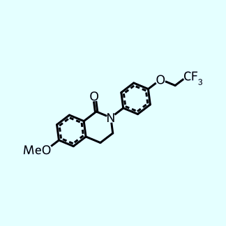 COc1ccc2c(c1)CCN(c1ccc(OCC(F)(F)F)cc1)C2=O